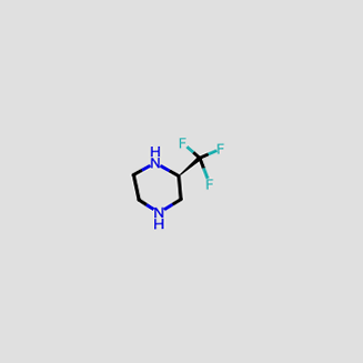 FC(F)(F)[C@H]1CNCCN1